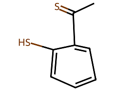 CC(=S)c1ccccc1S